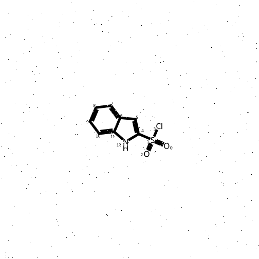 O=S(=O)(Cl)c1cc2ccccc2[nH]1